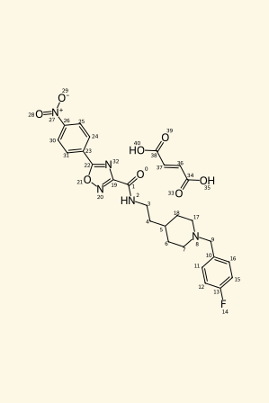 O=C(NCCC1CCN(Cc2ccc(F)cc2)CC1)c1noc(-c2ccc([N+](=O)[O-])cc2)n1.O=C(O)C=CC(=O)O